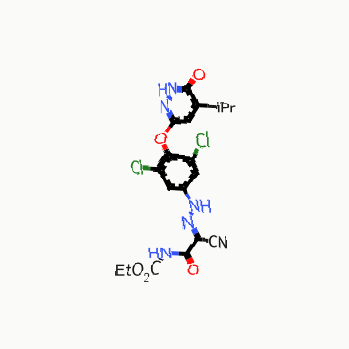 CCOC(=O)NC(=O)/C(C#N)=N/Nc1cc(Cl)c(Oc2cc(C(C)C)c(=O)[nH]n2)c(Cl)c1